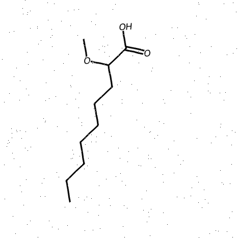 CCCCCCCC(OC)C(=O)O